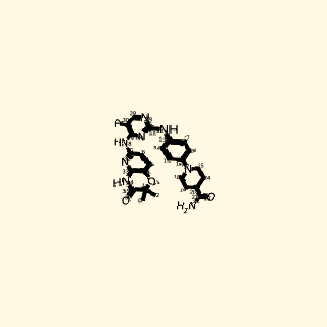 CC1(C)Oc2ccc(Nc3nc(Nc4ccc(N5CCC(C(N)=O)CC5)cc4)ncc3F)nc2NC1=O